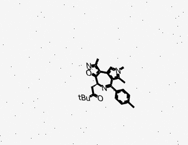 Cc1ccc(C2=N[C@@H](CC(=O)C(C)(C)C)c3onc(C)c3-c3cn(C)c(C)c32)cc1